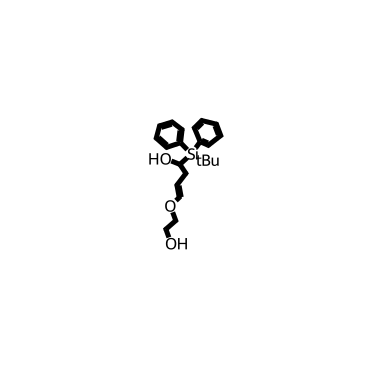 CC(C)(C)[Si](c1ccccc1)(c1ccccc1)C(O)CC=COCCO